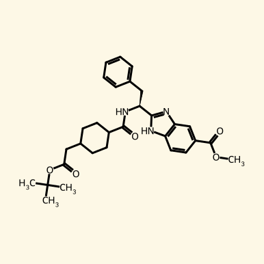 COC(=O)c1ccc2[nH]c([C@H](Cc3ccccc3)NC(=O)C3CCC(CC(=O)OC(C)(C)C)CC3)nc2c1